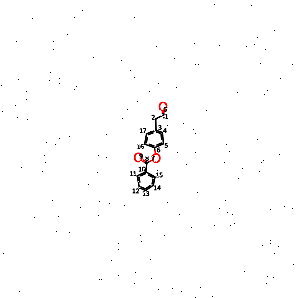 O=[C]Cc1ccc(OC(=O)c2ccccc2)cc1